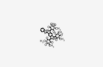 CN1C(=O)C(=C2N/C(=N\c3ccccc3)c3cc4c(=C5C(=O)N(C)C(=O)N(C)C5=O)[nH]c(=C5C(=O)N(C)C(=O)N(C)C5=O)c4cc32)C(=O)N(C)C1=O